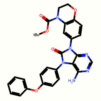 CC(C)(C)OC(=O)N1CCOc2ccc(-n3c(=O)n(-c4ccc(Oc5ccccc5)cc4)c4c(N)ncnc43)cc21